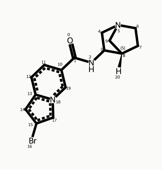 O=C(NC1CN2CC[C@H]1C2)c1ccc2cc(Br)cn2c1